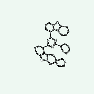 c1ccc(-c2nc(-c3cccc4oc5ccccc5c34)nc(-c3cccc4oc5cc6ccncc6cc5c34)n2)cc1